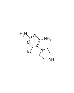 CCc1nc(N)nc(N)c1N1CCNCC1